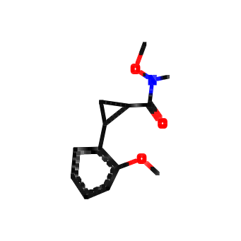 COc1ccccc1C1CC1C(=O)N(C)OC